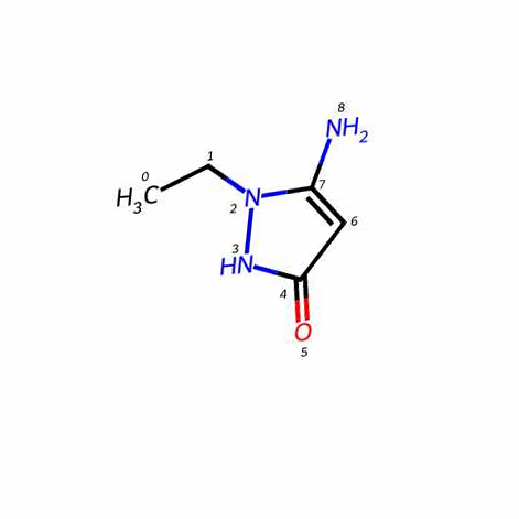 CCn1[nH]c(=O)cc1N